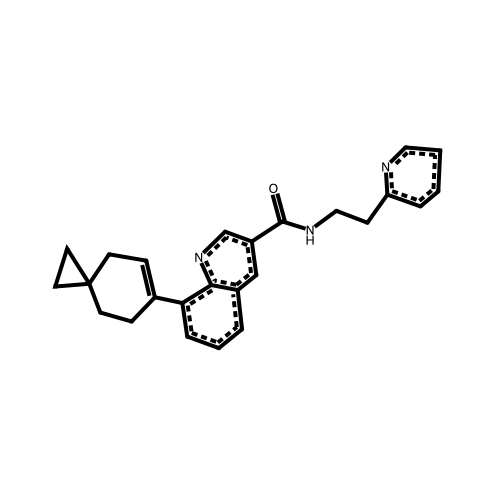 O=C(NCCc1ccccn1)c1cnc2c(C3=CCC4(CC3)CC4)cccc2c1